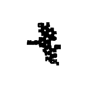 C=C(F)C(=O)N1CCN(c2nc(OC)nc3c2NC(=O)C2(CCCc4c2ccc(Cl)c4F)C3)CC1CC#N